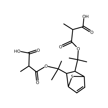 CC(C(=O)O)C(=O)OC(C)(C)C1C2C=CC(S2)C1C(C)(C)OC(=O)C(C)C(=O)O